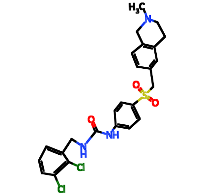 CN1CCc2cc(CS(=O)(=O)c3ccc(NC(=O)NCc4cccc(Cl)c4Cl)cc3)ccc2C1